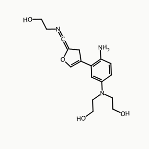 Nc1ccc(N(CCO)CCO)cc1C1=COC(=C=NCCO)C1